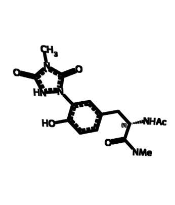 CNC(=O)[C@H](Cc1ccc(O)c(-n2[nH]c(=O)n(C)c2=O)c1)NC(C)=O